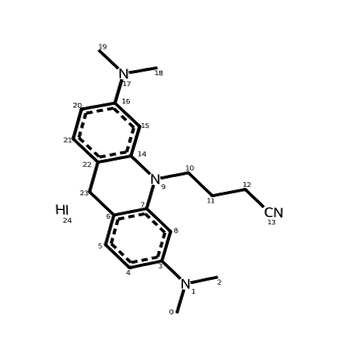 CN(C)c1ccc2c(c1)N(CCCC#N)c1cc(N(C)C)ccc1C2.I